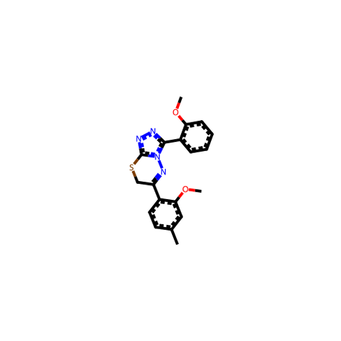 COc1cc(C)ccc1C1=Nn2c(nnc2-c2ccccc2OC)SC1